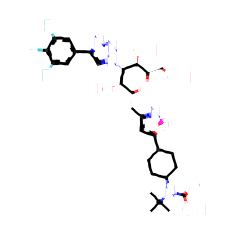 CC(C)(C)N(C(=O)O)C1CCC(c2cc(C[C@H]3O[C@H](CO)[C@H](O)[C@H](n4cc(-c5cc(F)c(F)c(F)c5)nn4)[C@H]3O)no2)CC1